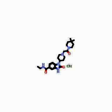 CCNC(=O)c1ccc2c(c1)[nH]c(=O)n2C1CCN(CC(=O)N2CCC(C)(C)CC2)CC1.Cl